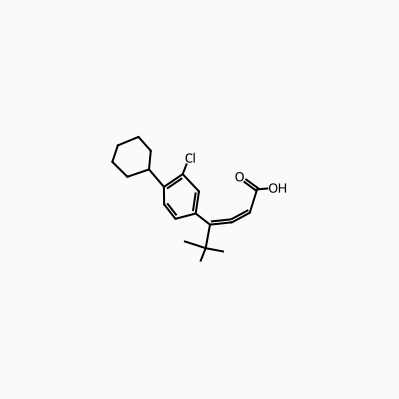 CC(C)(C)C(=C=CC(=O)O)c1ccc(C2CCCCC2)c(Cl)c1